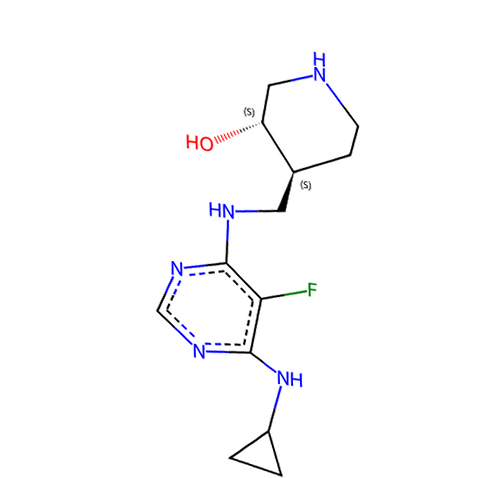 O[C@@H]1CNCC[C@H]1CNc1ncnc(NC2CC2)c1F